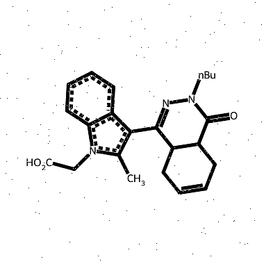 CCCCN1N=C(c2c(C)n(CC(=O)O)c3ccccc23)C2CC=CCC2C1=O